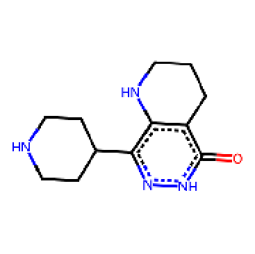 O=c1[nH]nc(C2CCNCC2)c2c1CCCN2